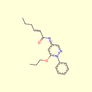 CCCC=CC(=O)/N=c1/cnn(-c2ccccc2)c(OCCC)c1